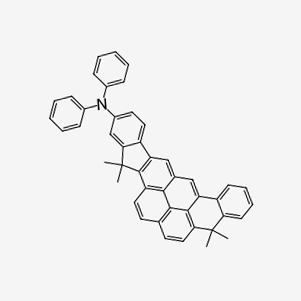 CC1(C)c2cc(N(c3ccccc3)c3ccccc3)ccc2-c2cc3cc4c5c(ccc6ccc(c21)c3c65)C(C)(C)c1ccccc1-4